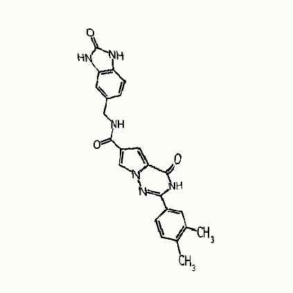 Cc1ccc(-c2nn3cc(C(=O)NCc4ccc5[nH]c(=O)[nH]c5c4)cc3c(=O)[nH]2)cc1C